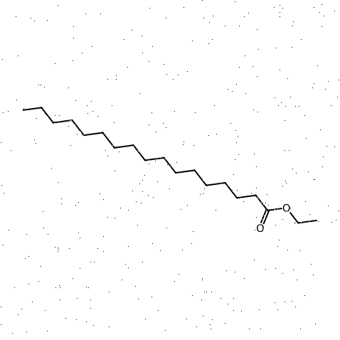 C[CH]OC(=O)CCCCCCCCCCCCCCCC